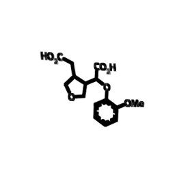 COc1ccccc1OC(C(=O)O)C1COCC1CC(=O)O